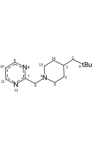 CC(C)(C)CC1CCN(Cc2ncccn2)CC1